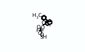 Cc1ccc(C23CC4CC(CC(COC(=O)C(F)(F)OOS)(C4)C2)C3)c(C)c1